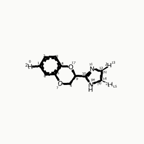 [2H]c1ccc2c(c1)OCC(C1=N[C@@H]([2H])[C@H]([2H])N1)O2